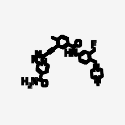 Cc1ccc(C(=O)Nc2ccc(CN3CCN(C)CC3)c(CF)c2)cc1C#Cc1nnc2cc(C(N)=O)ccn12